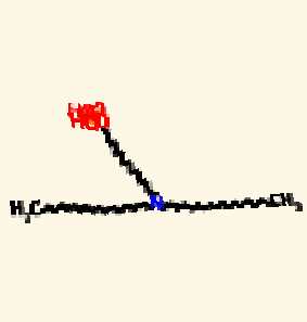 CCCCCCCCCCCCCCCCCCN(CCCCCCCCCCCCCCCCCC)CCCCCCCCCCCCCCOP(=O)(O)O